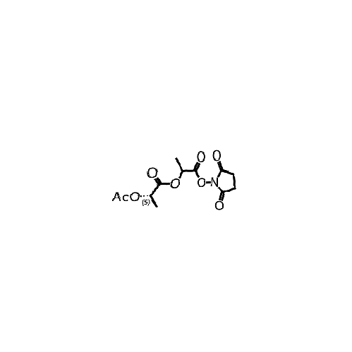 CC(=O)O[C@@H](C)C(=O)OC(C)C(=O)ON1C(=O)CCC1=O